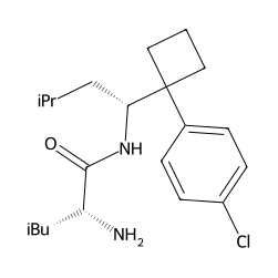 CC[C@@H](C)[C@@H](N)C(=O)N[C@H](CC(C)C)C1(c2ccc(Cl)cc2)CCC1